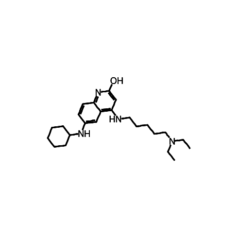 CCN(CC)CCCCCNc1cc(O)nc2ccc(NC3CCCCC3)cc12